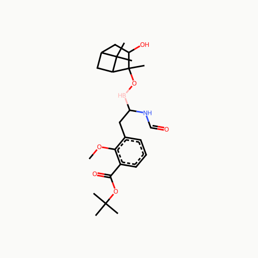 COc1c(CC(BOC2(C)C(O)CC3CC2C3(C)C)NC=O)cccc1C(=O)OC(C)(C)C